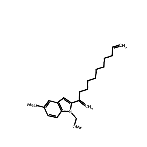 C=CCCCCCCCCC(=C)c1cc2cc(OC)ccc2n1COC